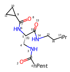 CCCCCC(=O)NC[C@H](NC(=O)C1CC1)C(=O)NCCC(C)C